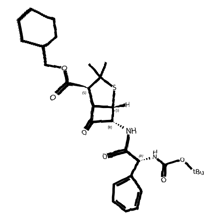 CC(C)(C)OC(=O)N[C@@H](C(=O)N[C@@H]1C(=O)C2[C@@H](C(=O)OCC3CCCCC3)C(C)(C)S[C@@H]21)c1ccccc1